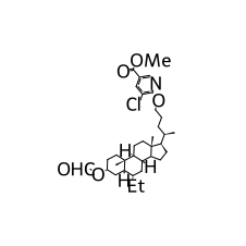 CC[C@H]1C[C@H]2C3CC[C@H]([C@H](C)CCCOc4ncc(C(=O)OC)cc4Cl)[C@@]3(C)CC[C@@H]2[C@@]2(C)CC[C@@H](OC=O)C[C@@H]12